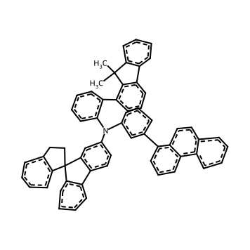 CC1(C)c2ccccc2-c2cccc(-c3ccccc3N(c3cccc(-c4cccc5c4ccc4ccccc45)c3)c3ccc4c(c3)C3(CCc5ccccc53)c3ccccc3-4)c21